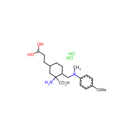 COc1ccc(N(C)CC2CCC(CCB(O)O)CC2(N)C(=O)O)cc1.Cl.Cl